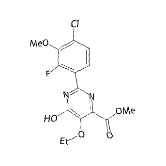 CCOc1c(O)nc(-c2ccc(Cl)c(OC)c2F)nc1C(=O)OC